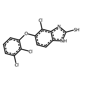 Sc1nc2c(Cl)c(Oc3cccc(Cl)c3Cl)ccc2[nH]1